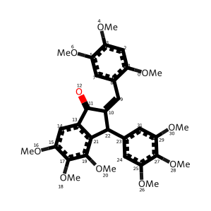 COc1cc(OC)c(OC)cc1/C=C1\C(=O)c2cc(OC)c(OC)c(OC)c2C1c1cc(OC)c(OC)c(OC)c1